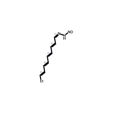 CC/C=C/C=C/C=C/C=C/C=N\NN=O